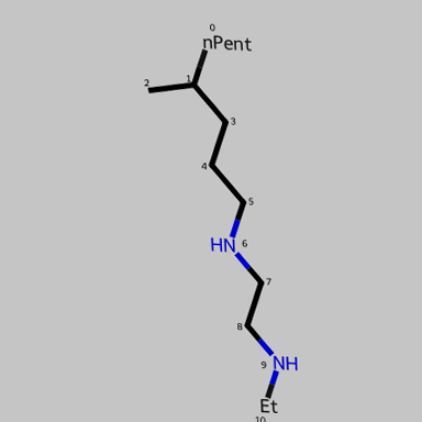 CCCCCC(C)CCCNCCNCC